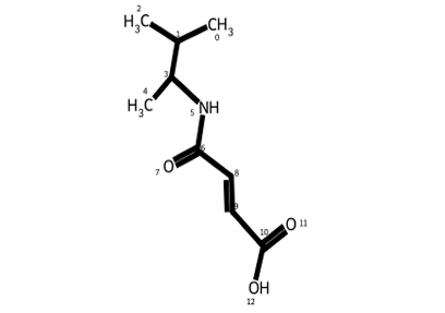 CC(C)C(C)NC(=O)C=CC(=O)O